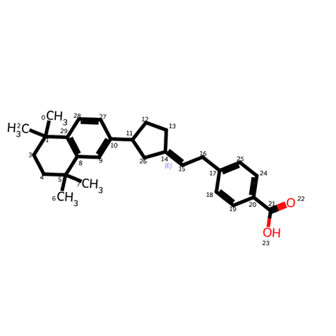 CC1(C)CCC(C)(C)c2cc(C3CC/C(=C\Cc4ccc(C(=O)O)cc4)C3)ccc21